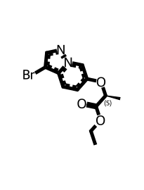 CCOC(=O)[C@H](C)Oc1ccc2c(Br)cnn2c1